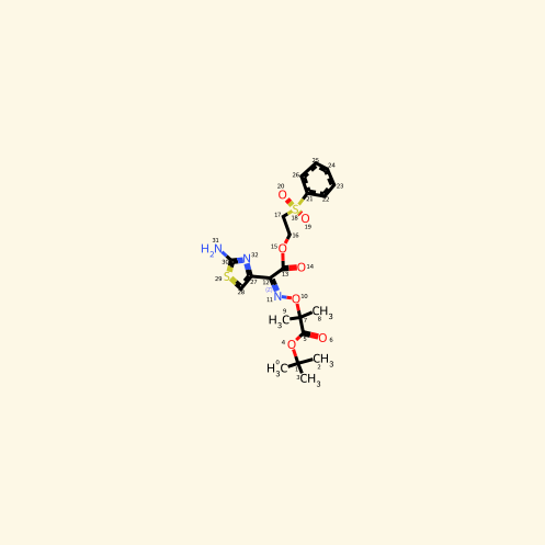 CC(C)(C)OC(=O)C(C)(C)O/N=C(\C(=O)OCCS(=O)(=O)c1ccccc1)c1csc(N)n1